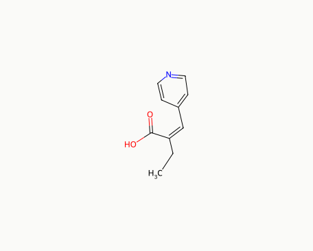 CCC(=Cc1ccncc1)C(=O)O